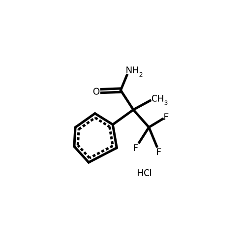 CC(C(N)=O)(c1ccccc1)C(F)(F)F.Cl